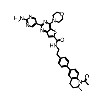 CC(=O)N1c2ccc(-c3ccc(CCNC(=O)c4cc5nc(-c6cnc(N)nc6)nc(N6CCOCC6)c5s4)cc3)cc2CC[C@@H]1C